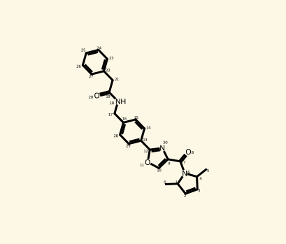 CC1C=CC(C)N1C(=O)c1coc(-c2ccc(CNC(=O)Cc3ccccc3)cc2)n1